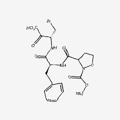 CC(C)C[C@H](NC(=O)[C@H](Cc1ccccc1)NC(=O)C1CCON1C(=O)OC(C)(C)C)C(=O)C(=O)O